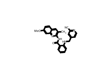 COc1ccc2cc(C)c(NC(=O)c3ccccc3NCc3ccnc(C#N)c3)nc2c1